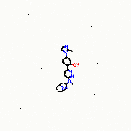 Cc1nccn1-c1ccc(-c2ccc(N(C)C3CC4CCC(C3)N4)nn2)c(O)c1